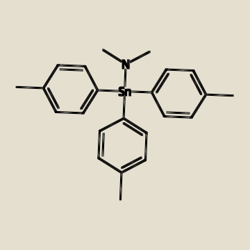 Cc1cc[c]([Sn]([c]2ccc(C)cc2)([c]2ccc(C)cc2)[N](C)C)cc1